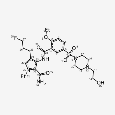 CCOc1ccc(S(=O)(=O)N2CCN(CCO)CC2)cc1C(=O)Nc1c(CCCF)cn(CC)c1C(N)=O